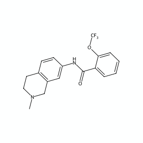 CN1CCc2ccc(NC(=O)c3ccccc3OC(F)(F)F)cc2C1